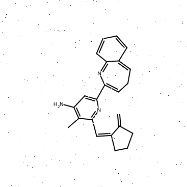 C=C1CCC/C1=C/c1nc(C2=CCC=c3ccccc3=N2)cc(N)c1C